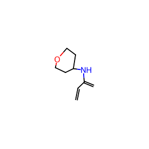 C=CC(=C)NC1CCOCC1